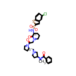 CN(C(=O)c1ccccc1)C1CCN(C[C@@H]2CCCN2C(=O)CN2CCC[C@H](NS(=O)(=O)c3cc4cc(Cl)ccc4s3)C2=O)C1